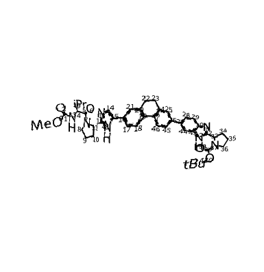 COC(=O)N[C@H](C(=O)N1CCC[C@H]1c1ncc(-c2ccc3c(c2)CCc2cc(-c4ccc5nc(C6CCCN6C(=O)OC(C)(C)C)[nH]c5c4)ccc2-3)[nH]1)C(C)C